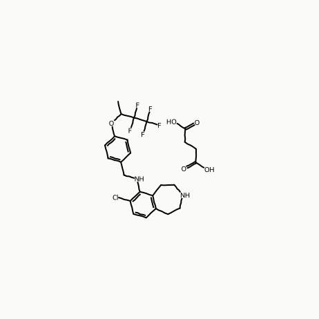 CC(Oc1ccc(CNc2c(Cl)ccc3c2CCNCC3)cc1)C(F)(F)C(F)(F)F.O=C(O)CCC(=O)O